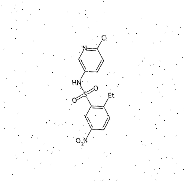 CCc1ccc([N+](=O)[O-])cc1S(=O)(=O)Nc1ccc(Cl)nc1